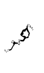 CCC(=O)ON=Cc1ccc(C)cc1